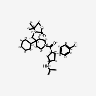 CC(C)NC1C[C@@H](C(=O)N2CCC(CN3C(=O)OCC3(C)C)(C3CCCCC3)CC2)[C@H](c2ccc(Cl)cc2)C1